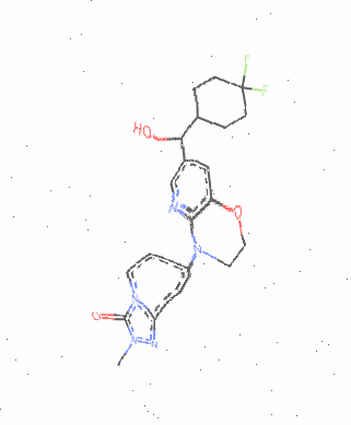 Cn1nc2cc(N3CCOc4cc(C(O)C5CCC(F)(F)CC5)cnc43)ccn2c1=O